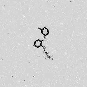 Cc1cccc(Oc2ccccc2OP=NP)c1